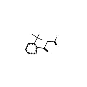 C=C(CC(=O)O)c1ccccc1C(Cl)(Cl)Cl